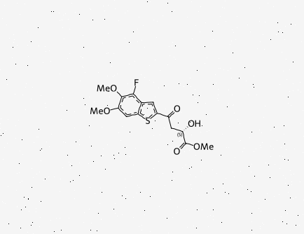 COC(=O)[C@@H](O)CC(=O)c1cc2c(F)c(OC)c(OC)cc2s1